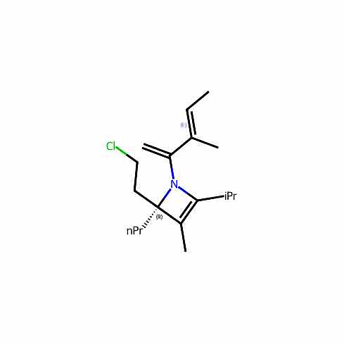 C=C(/C(C)=C/C)N1C(C(C)C)=C(C)[C@@]1(CCC)CCCl